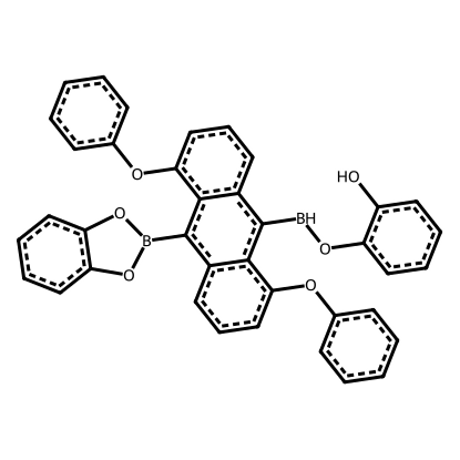 Oc1ccccc1OBc1c2cccc(Oc3ccccc3)c2c(B2Oc3ccccc3O2)c2cccc(Oc3ccccc3)c12